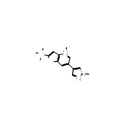 Cn1cc(-c2cc3oc([Si](C)(C)C)cc3[n+]([O-])c2)cn1